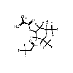 C=C(C)C(=O)OC1C(F)(F)C(C)(C(F)(F)F)OC(OC(=O)CC(F)(F)F)(C(F)(F)F)C1(F)F